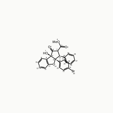 COC(=O)C1C(=O)[C@@]2(O)c3ccncc3O[C@@]2(c2ccc(Br)cc2)[C@@H]1c1ccccc1